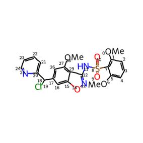 COc1cccc(OC)c1S(=O)(=O)Nc1noc2cc(C(Cl)c3ccccn3)cc(OC)c12